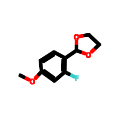 COc1ccc(C2OCCO2)c(F)c1